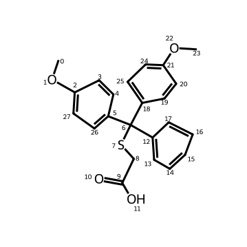 COc1ccc(C(SCC(=O)O)(c2ccccc2)c2ccc(OC)cc2)cc1